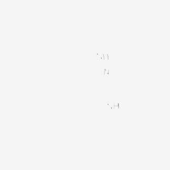 c1c[nH]c(-c2n[nH]c3ccccc23)c1